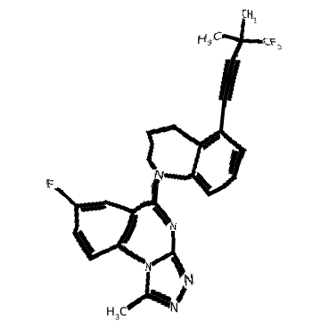 Cc1nnc2nc(N3CCCc4c(C#CC(C)(C)C(F)(F)F)cccc43)c3cc(F)ccc3n12